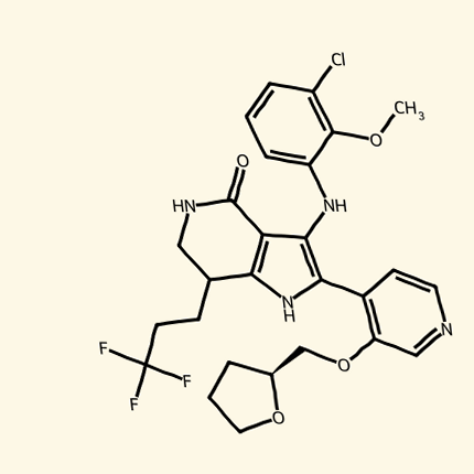 COc1c(Cl)cccc1Nc1c(-c2ccncc2OC[C@@H]2CCCO2)[nH]c2c1C(=O)NCC2CCC(F)(F)F